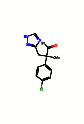 CC(=O)OC(Cc1nc[nH]n1)(C(=O)C(C)C)c1ccc(Cl)cc1